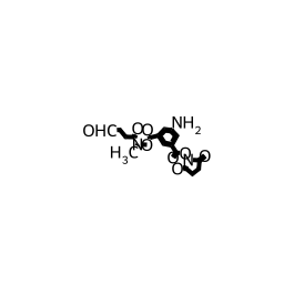 CN(OC(=O)c1cc(N)cc(C(=O)ON2C(=O)CCC2=O)c1)C(=O)CCC=O